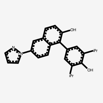 CC(C)c1cc(-c2c(O)ccc3cc(-n4cccn4)ccc23)cc(C(C)C)c1O